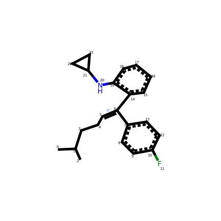 CC(C)CC/C=C(\c1ccc(F)cc1)c1ccccc1NC1CC1